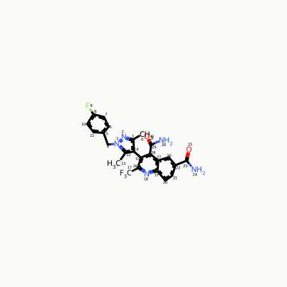 Cc1nn(Cc2ccc(F)cc2)c(C)c1-c1c(C(F)(F)F)nc2ccc(C(N)=O)cc2c1C(N)=O